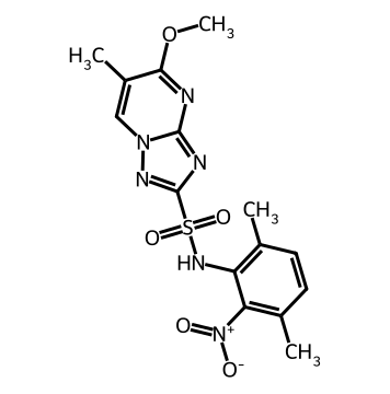 COc1nc2nc(S(=O)(=O)Nc3c(C)ccc(C)c3[N+](=O)[O-])nn2cc1C